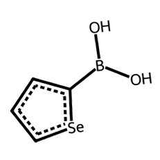 OB(O)c1ccc[se]1